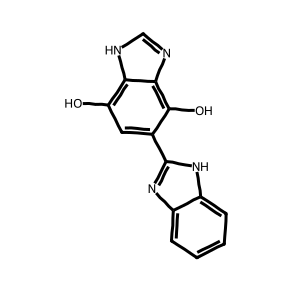 Oc1c(-c2nc3ccccc3[nH]2)cc(O)c2[nH]cnc12